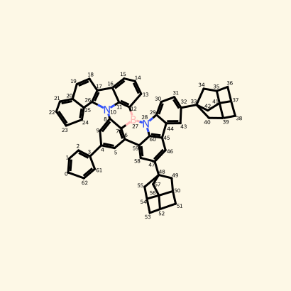 c1ccc(-c2cc3c4c(c2)-n2c5c(cccc5c5ccc6ccccc6c52)B4n2c4ccc(C56CC7CC8CC(C5)C87C6)cc4c4cc(C56CC7CC8CC(C5)C87C6)cc-3c42)cc1